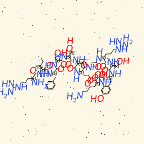 CC[C@H](C)[C@H](NC(=O)[C@@H](NC(=O)[C@H](CO)NC(=O)[C@H](Cc1ccccc1)NC(=O)[C@@H](NC(=O)[C@@H](N)CCCNC(=N)N)[C@@H](C)CC)[C@@H](C)O)C(=O)N[C@@H](CCC(=O)O)C(=O)NCC(=O)N[C@@H](CCCNC(=N)N)C(=O)N[C@H](C(=O)N[C@@H](Cc1ccc(O)cc1)C(=O)N[C@@H](CCCCN)C(=O)O)[C@@H](C)O